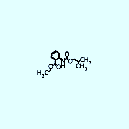 CCOC(=O)c1ccccc1NC(=O)OCC(C)C